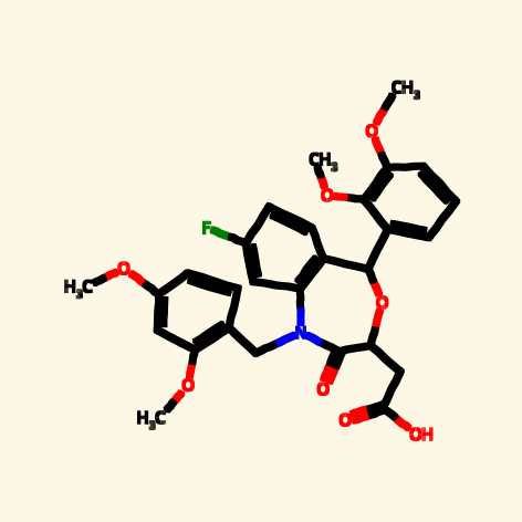 COc1ccc(CN2C(=O)C(CC(=O)O)OC(c3cccc(OC)c3OC)c3ccc(F)cc32)c(OC)c1